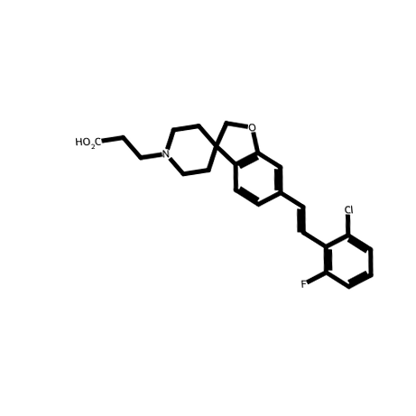 O=C(O)CCN1CCC2(CC1)COc1cc(C=Cc3c(F)cccc3Cl)ccc12